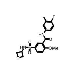 COc1ccc(S(=O)(=O)NC2COC2)cc1C(=O)Nc1ccc(F)c(C)c1